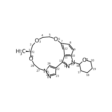 C[C@H]1COCCOc2ccc3c(c2)c(nn3C2CCCCO2)-c2cnn(c2)CCO1